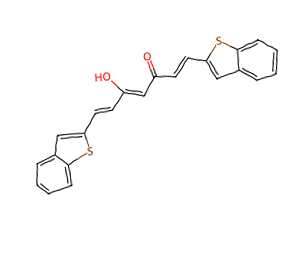 O=C(/C=C(O)/C=C/c1cc2ccccc2s1)/C=C/c1cc2ccccc2s1